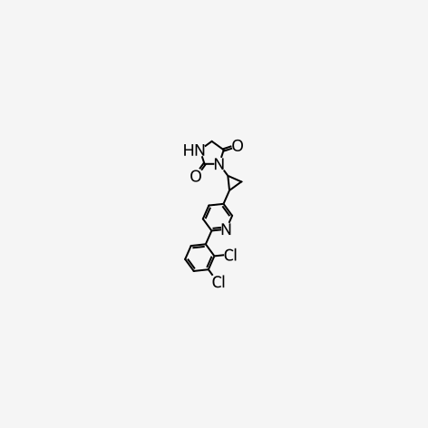 O=C1CNC(=O)N1C1CC1c1ccc(-c2cccc(Cl)c2Cl)nc1